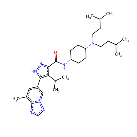 Cc1cc(-c2[nH]nc(C(=O)N[C@H]3CC[C@@H](N(CCC(C)C)CCC(C)C)CC3)c2C(C)C)cn2ncnc12